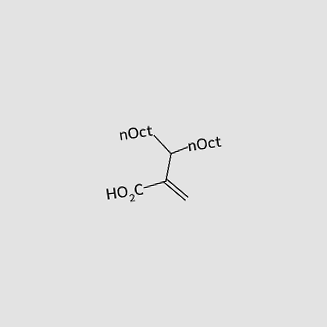 C=C(C(=O)O)C(CCCCCCCC)CCCCCCCC